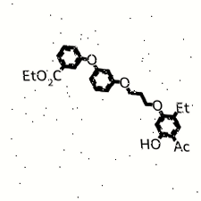 CCOC(=O)c1cccc(Oc2cccc(OCCCOc3cc(O)c(C(C)=O)cc3CC)c2)c1